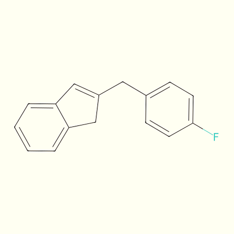 Fc1ccc(CC2=Cc3ccccc3C2)cc1